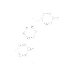 Cc1[nH]c(C)c(-c2ccc(Oc3ccc(Cl)cc3)cc2)c(=O)c1Cl